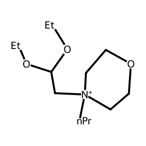 CCC[N+]1(CC(OCC)OCC)CCOCC1